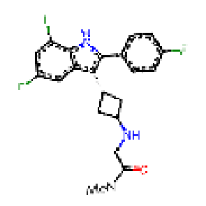 CNC(=O)CN[C@H]1C[C@H](c2c(-c3ccc(F)cc3)[nH]c3c(F)cc(F)cc32)C1